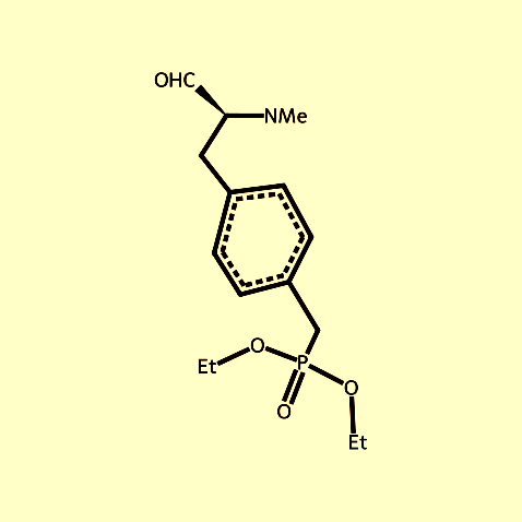 CCOP(=O)(Cc1ccc(C[C@@H](C=O)NC)cc1)OCC